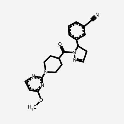 COc1ccnc(N2CCC(C(=O)N3N=CCC3c3cccc(C#N)c3)CC2)n1